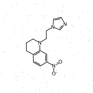 O=[N+]([O-])c1ccc2c(c1)N(CCn1ccnc1)CCC2